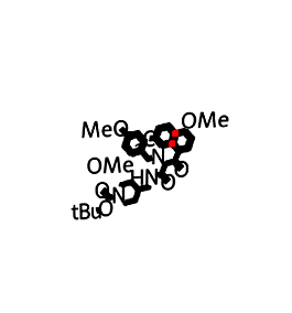 COc1ccc(C(=O)C(C(=O)NCC2CCN(C(=O)OC(C)(C)C)CC2)N(Cc2ccc(OC)cc2OC)c2ccccc2C(F)(F)F)cc1